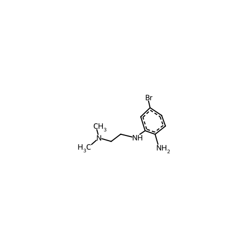 CN(C)CCNc1cc(Br)ccc1N